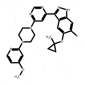 COc1ccnc(N2CCN(c3cc(-c4n[nH]c5cc(F)c(OC6(C)CC6)cc45)ncn3)CC2)c1